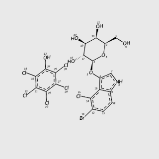 OC[C@H]1O[C@@H](Oc2c[nH]c3ccc(Br)c(Cl)c23)[C@H](O)[C@@H](O)[C@H]1O.Oc1c(Cl)c(Cl)c(Cl)c(Cl)c1Cl